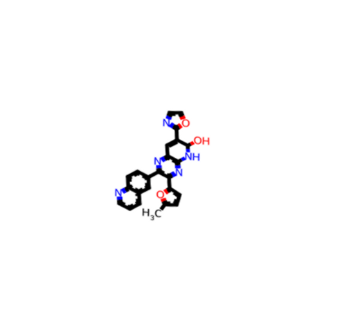 Cc1ccc(-c2nc3c(nc2-c2ccc4ncccc4c2)C=C(c2ncco2)C(O)N3)o1